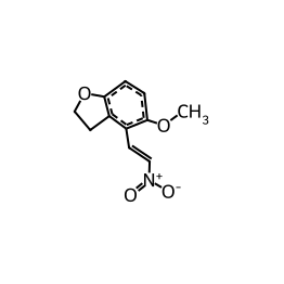 COc1ccc2c(c1C=C[N+](=O)[O-])CCO2